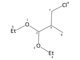 CCOC(OCC)C(C)CCl